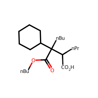 CCCCOC(=O)C(CCCC)(C1CCCCC1)C(CCC)C(=O)O